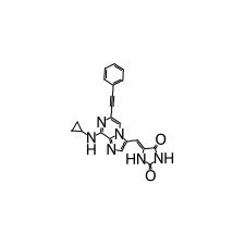 O=C1NC(=O)C(=Cc2cnc3c(NC4CC4)nc(C#Cc4ccccc4)cn23)N1